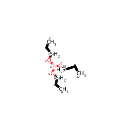 CC[SiH2]OB(O[SiH2]CC)O[SiH2]CC